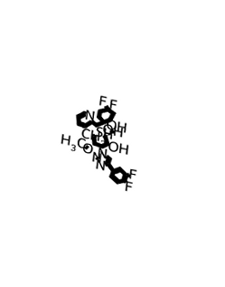 CO[C@H]1C[SH]([C@H](c2ncccc2C)C2(O)CCC(F)(F)CC2)[C@H](CO)[C@H](O)[C@@H]1n1cc(-c2ccc(F)c(F)c2)nn1